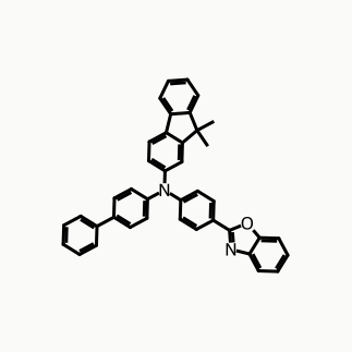 CC1(C)c2ccccc2-c2ccc(N(c3ccc(-c4ccccc4)cc3)c3ccc(-c4nc5ccccc5o4)cc3)cc21